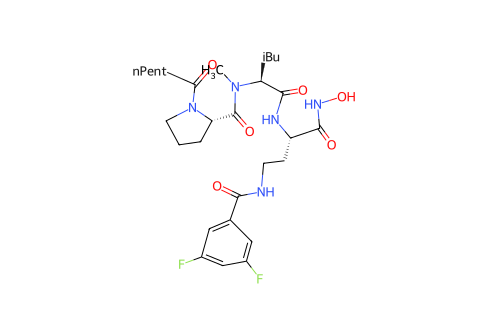 CCCCCC(=O)N1CCC[C@H]1C(=O)N(C)[C@H](C(=O)N[C@@H](CCNC(=O)c1cc(F)cc(F)c1)C(=O)NO)C(C)CC